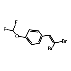 FC(F)Oc1ccc(C=C(Br)Br)cc1